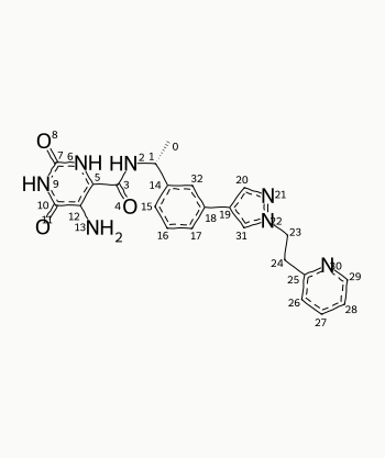 C[C@@H](NC(=O)c1[nH]c(=O)[nH]c(=O)c1N)c1cccc(-c2cnn(CCc3ccccn3)c2)c1